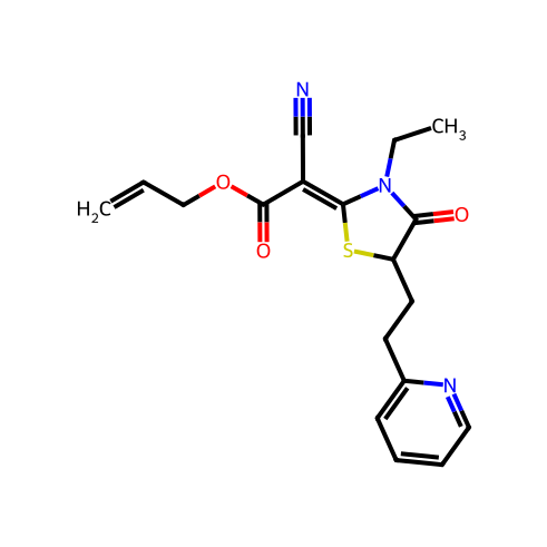 C=CCOC(=O)/C(C#N)=C1\SC(CCc2ccccn2)C(=O)N1CC